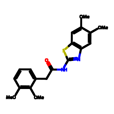 COc1cc2nc(NC(=O)Cc3cccc(OC)c3OC)sc2cc1OC